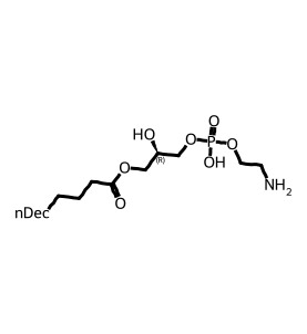 CCCCCCCCCCCCCC(=O)OC[C@@H](O)COP(=O)(O)OCCN